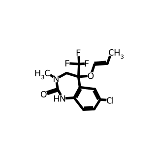 CC=COC1(C(F)(F)F)CN(C)C(=O)Nc2ccc(Cl)cc21